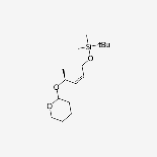 C[C@@H](/C=C\CO[Si](C)(C)C(C)(C)C)OC1CCCCO1